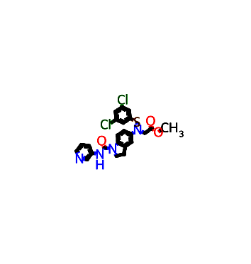 COC(=O)CN(Sc1cc(Cl)cc(Cl)c1)c1ccc2c(c1)CCN2C(=O)Nc1cccnc1